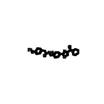 CCOc1ccc(CC(=O)NCc2ccc(-c3nc(C(=O)N4CCCCC4)co3)cc2)cc1